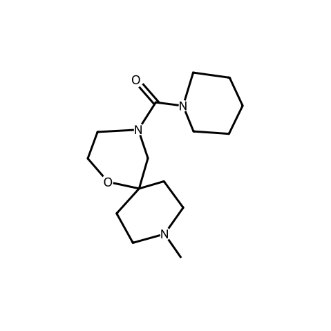 CN1CCC2(CC1)CN(C(=O)N1CCCCC1)CCO2